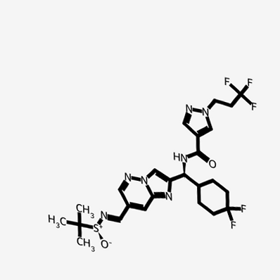 CC(C)(C)[S@+]([O-])/N=C/c1cnn2cc([C@@H](NC(=O)c3cnn(CCC(F)(F)F)c3)C3CCC(F)(F)CC3)nc2c1